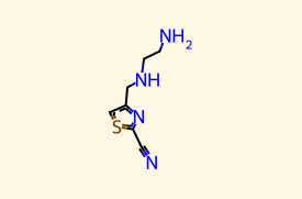 N#Cc1nc(CNCCN)cs1